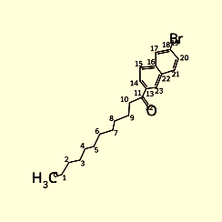 CCCCCCCCCCCC(=O)c1ccc2cc(Br)ccc2c1